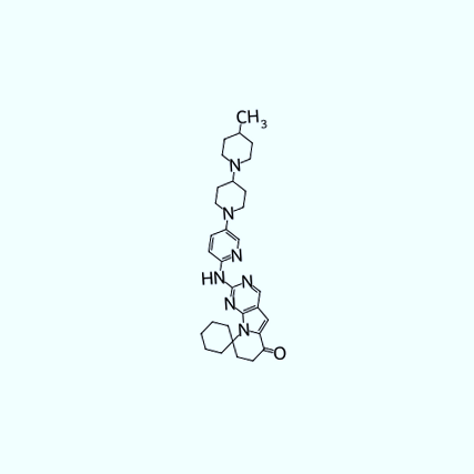 CC1CCN(C2CCN(c3ccc(Nc4ncc5cc6n(c5n4)C4(CCCCC4)CCC6=O)nc3)CC2)CC1